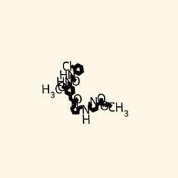 CCOC(=O)c1ccc(NCC2CCCN2C(=O)Cc2ccc(NC(=O)Nc3ccccc3Cl)c(OC)c2)cn1